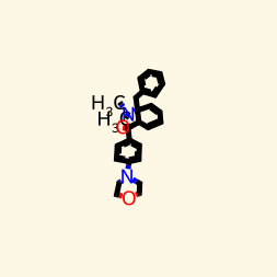 CN(C)C1(Cc2ccccc2)C=CC=CC1C(=O)c1ccc(N2CCOCC2)cc1